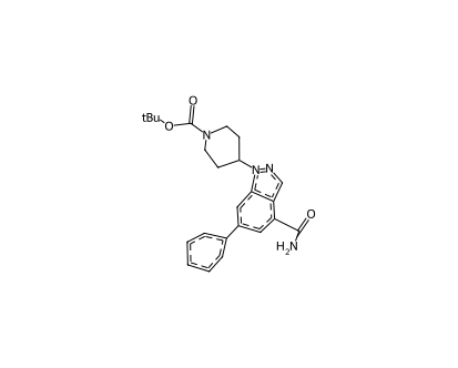 CC(C)(C)OC(=O)N1CCC(n2ncc3c(C(N)=O)cc(-c4ccccc4)cc32)CC1